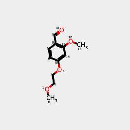 COCCOc1ccc(C=O)c(OC)c1